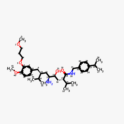 COCCCOc1cc(C[C@@H](C[C@H](N)[C@@H](O)C[C@H](C(=O)NCc2ccc(C(C)C)cc2)C(C)C)C(C)C)ccc1OC